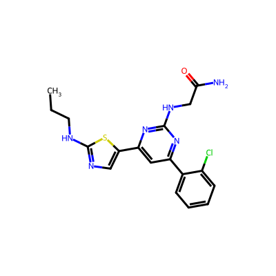 CCCNc1ncc(-c2cc(-c3ccccc3Cl)nc(NCC(N)=O)n2)s1